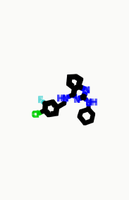 Fc1cc(CNc2nc(NC3CCCCC3)nc3ccccc23)ccc1Cl